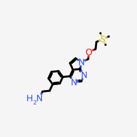 CS(C)(C)CCOCn1ccc2c(-c3cccc(CCN)c3)ncnc21